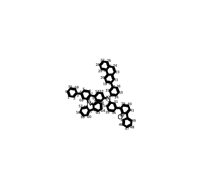 c1ccc(-c2ccc(-c3ccc(N(c4cccc(-c5ccc6c(ccc7ccccc76)c5)c4)c4cccc(-c5cccc6c5oc5ccccc56)c4)cc3)c(-n3c4ccccc4c4ccccc43)c2)cc1